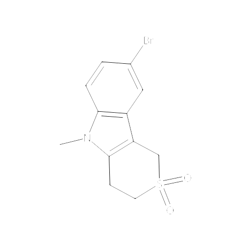 Cn1c2c(c3cc(Br)ccc31)CS(=O)(=O)CC2